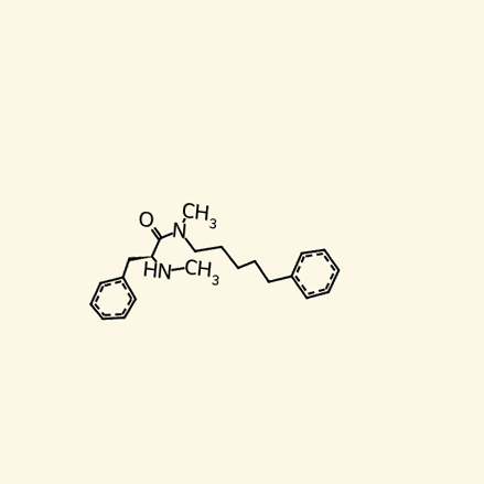 CN[C@@H](Cc1ccccc1)C(=O)N(C)CCCCCc1ccccc1